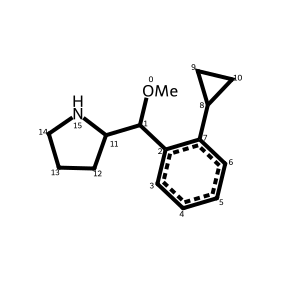 COC(c1ccccc1C1CC1)C1CCCN1